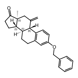 C=C1C[C@]2(C)C(=O)CC[C@H]2[C@@H]2CCc3cc(OCc4ccccc4)ccc3[C@@H]12